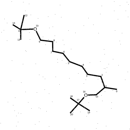 CC(C[CH]CCCCCCOC(C)(C)C)COC(C)(C)C